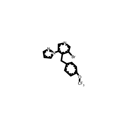 FC(F)(F)Oc1ccc(Cc2c(Br)cncc2-n2cccn2)cc1